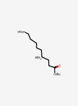 CCCCCCCCCCCCCCCCCC(=O)OCC(C)C.[AlH3]